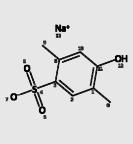 Cc1cc(S(=O)(=O)[O-])c(C)cc1O.[Na+]